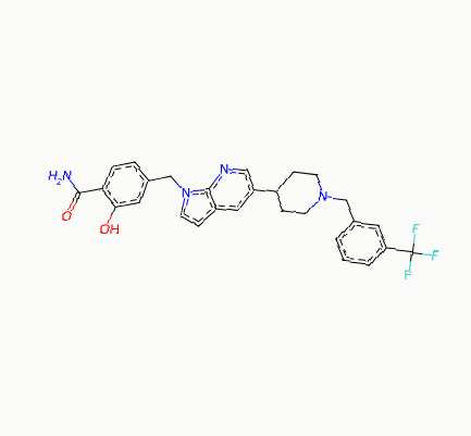 NC(=O)c1ccc(Cn2ccc3cc(C4CCN(Cc5cccc(C(F)(F)F)c5)CC4)cnc32)cc1O